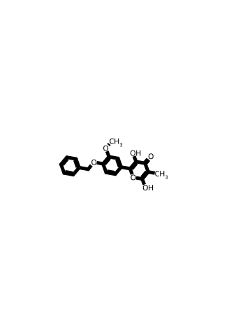 COc1cc(-c2oc(O)c(C)c(=O)c2O)ccc1OCc1ccccc1